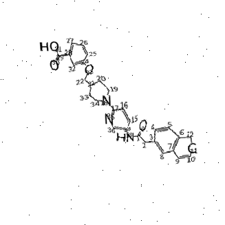 O=C(Cc1ccc2c(c1)C=CCC2)Nc1ccc(N2CCC(COc3cccc(C(=O)O)c3)CC2)nc1